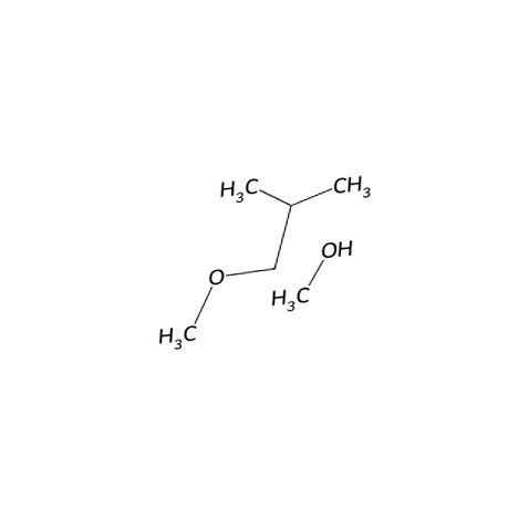 CO.COCC(C)C